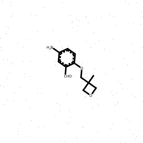 Bc1ccc(OCC2(C)COC2)c(C=O)c1